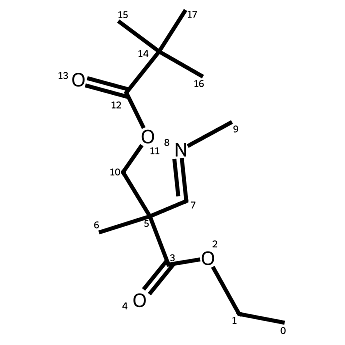 CCOC(=O)C(C)(C=NC)COC(=O)C(C)(C)C